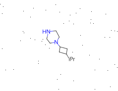 CC(C)C1CC(N2CCNCC2)C1